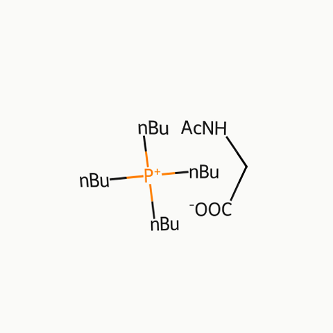 CC(=O)NCC(=O)[O-].CCCC[P+](CCCC)(CCCC)CCCC